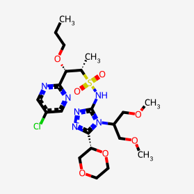 CCCO[C@@H](c1ncc(Cl)cn1)[C@H](C)S(=O)(=O)Nc1nnc([C@H]2COCCO2)n1C(COC)COC